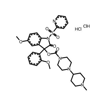 COc1ccc2c(c1)C(OC(=O)N1CCN(C3CCN(C)CC3)CC1)(c1ccccc1OC)C(=O)N2S(=O)(=O)c1ccccn1.Cl.Cl